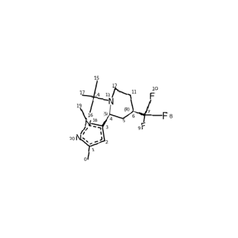 Cc1cc([C@@H]2C[C@H](C(F)(F)F)CCN2C(C)(C)C)n(C)n1